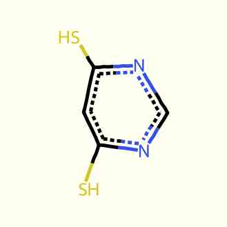 Sc1cc(S)ncn1